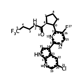 O=C(NCCC(F)(F)F)[C@H]1CCCC1c1nc(-c2c[nH]c3ncc(Cl)cc23)ncc1F